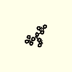 c1ccc(-n2c3ccccc3c3c(-c4cccc(N(c5ccc([Si](c6ccccc6)(c6ccccc6)c6ccccc6)cc5)c5ccc6sc7ccccc7c6c5)c4)cccc32)cc1